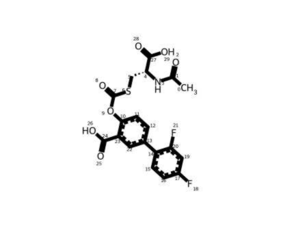 CC(=O)N[C@H](CSC(=O)Oc1ccc(-c2ccc(F)cc2F)cc1C(=O)O)C(=O)O